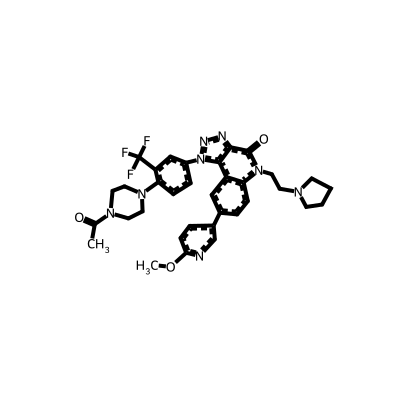 COc1ccc(-c2ccc3c(c2)c2c(nnn2-c2ccc(N4CCN(C(C)=O)CC4)c(C(F)(F)F)c2)c(=O)n3CCN2CCCC2)cn1